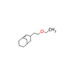 CCOCCC1C=C2CCCC(C2)C1